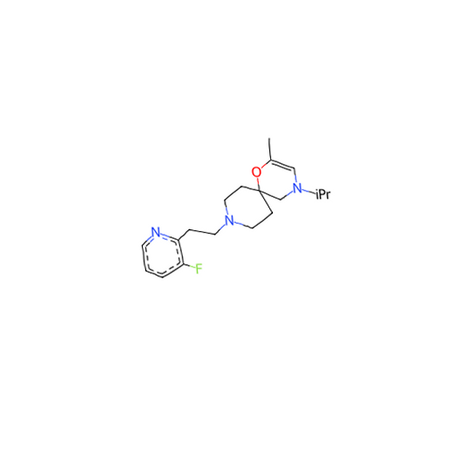 CC1=CN(C(C)C)CC2(CCN(CCc3ncccc3F)CC2)O1